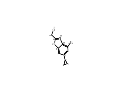 CCc1cc(C2CC2)cc2sc(CCl)nc12